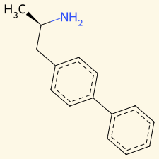 C[C@@H](N)Cc1ccc(-c2ccccc2)cc1